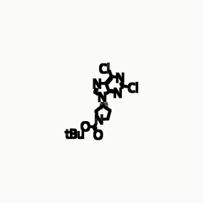 CC(C)(C)OC(=O)N1CC[C@@H](n2cnc3c(Cl)nc(Cl)nc32)C1